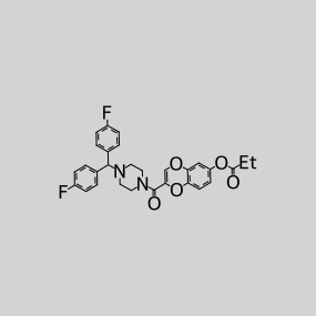 CCC(=O)Oc1ccc2c(c1)OC=C(C(=O)N1CCN(C(c3ccc(F)cc3)c3ccc(F)cc3)CC1)O2